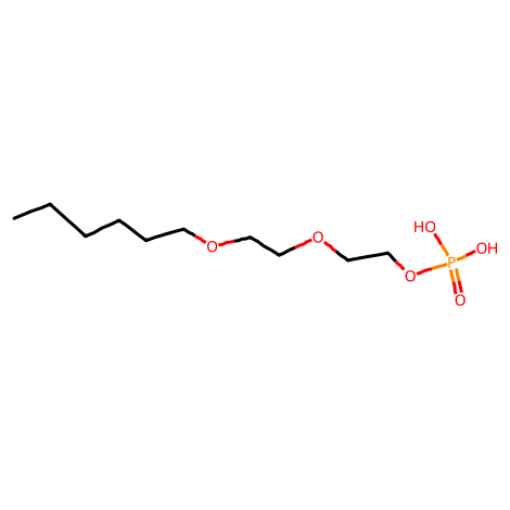 CCCCCCOCCOCCOP(=O)(O)O